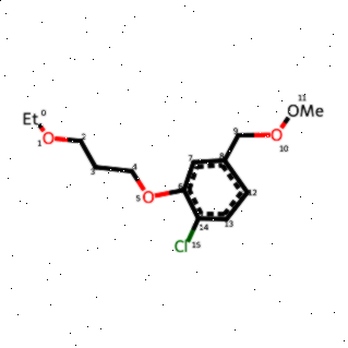 CCOCCCOc1cc(COOC)ccc1Cl